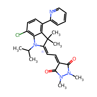 CC(C)N1/C(=C/C=C2C(=O)N(C)N(C)C2=O)C(C)(C)c2c(-c3ccccn3)ccc(Cl)c21